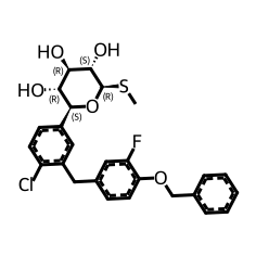 CS[C@H]1O[C@@H](c2ccc(Cl)c(Cc3ccc(OCc4ccccc4)c(F)c3)c2)[C@H](O)[C@@H](O)[C@@H]1O